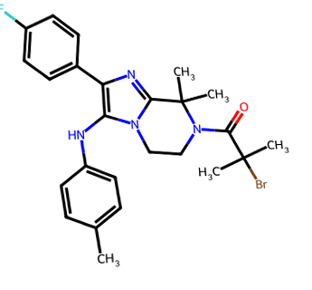 Cc1ccc(Nc2c(-c3ccc(F)cc3)nc3n2CCN(C(=O)C(C)(C)Br)C3(C)C)cc1